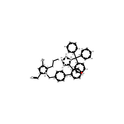 CCCc1c(Br)cc(C=O)n1Cc1ccc(-c2ccccc2-c2nnnn2C(c2ccccc2)(c2ccccc2)c2ccccc2)cc1